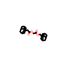 O=C(COC(=O)CC12CC3CC(CC(C3)C1)C2)OCC12CC3CC(CC(C3)C1)C2